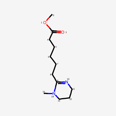 COC(=O)CCCCCC1=NCCCN1C